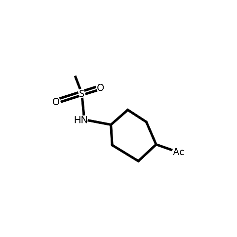 CC(=O)C1CCC(NS(C)(=O)=O)CC1